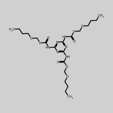 CCCCOCOC(=O)Nc1nc(NC(=O)OCOCCCC)nc(NC(=O)OCOCCCC)n1